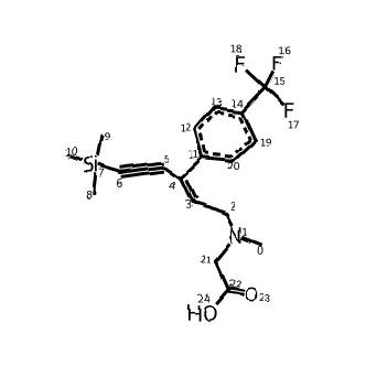 CN(C/C=C(/C#C[Si](C)(C)C)c1ccc(C(F)(F)F)cc1)CC(=O)O